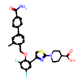 Cc1cc(-c2ccc(C(N)=O)cc2)ccc1COc1c(F)cc(F)cc1-c1csc(N2CCC(C(=O)O)CC2)n1